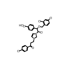 Cl.O=C(CCN1C=CN(C(Cl)C(OCc2ccc(Cl)cc2Cl)c2ccc(Cl)cc2)C1)c1ccc(Cl)cc1